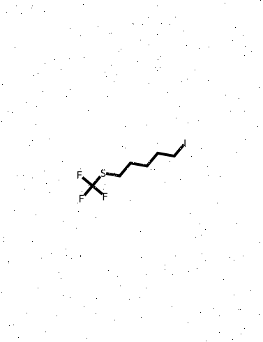 FC(F)(F)SCCCCCI